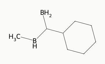 BC(BC)C1CCCCC1